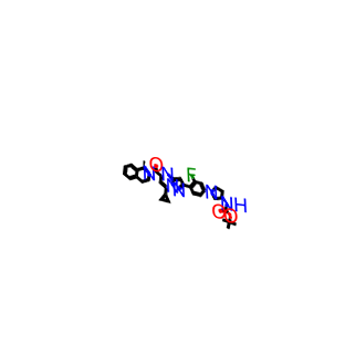 C[C@@H]1c2ccccc2CCN1C(=O)c1cc(C2CC2)n2nc(-c3ccc(N4CC[C@@H](NC(=O)OC(C)(C)C)C4)cc3F)cc2n1